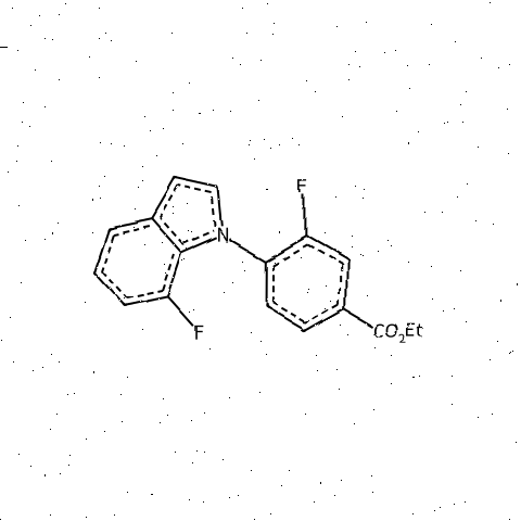 CCOC(=O)c1ccc(-n2ccc3cccc(F)c32)c(F)c1